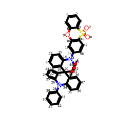 O=S1(=O)c2ccccc2Oc2cc(N3c4ccccc4C4(c5ccccc5N(c5ccccc5)c5ccccc54)c4ccccc43)ccc21